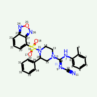 Cc1ccccc1N/C(=N\C#N)N1CCN(S(=O)(=O)c2cccc3nonc23)C(c2ccccc2)C1